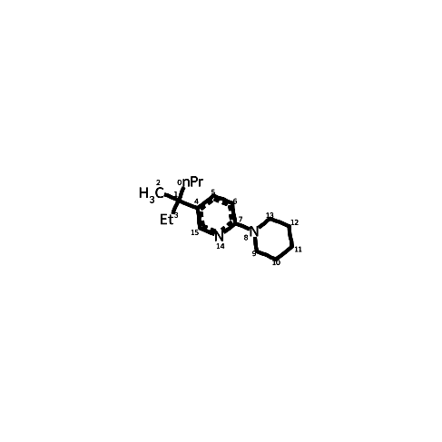 CCCC(C)(CC)c1ccc(N2CCCCC2)nc1